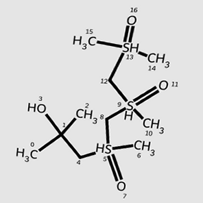 CC(C)(O)C[SH](C)(=O)C[SH](C)(=O)C[SH](C)(C)=O